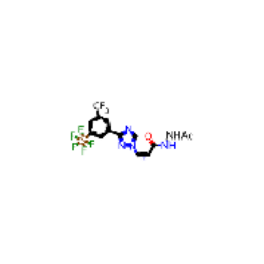 CC(=O)NNC(=O)/C=C\n1cnc(-c2cc(C(F)(F)F)cc(S(F)(F)(F)(F)F)c2)n1